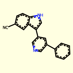 N#Cc1ccc2[nH]cc(-c3cncc(-c4ccccc4)c3)c2c1